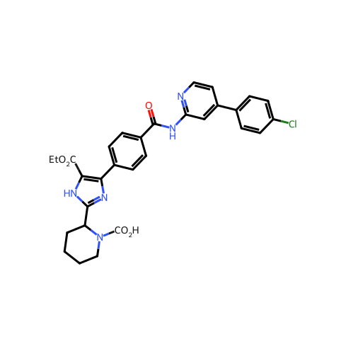 CCOC(=O)c1[nH]c(C2CCCCN2C(=O)O)nc1-c1ccc(C(=O)Nc2cc(-c3ccc(Cl)cc3)ccn2)cc1